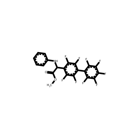 COC(=O)C(Nc1ccccc1)c1c(F)c(F)c(-c2c(F)c(F)c(F)c(F)c2F)c(F)c1F